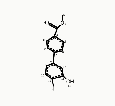 COC(=O)c1ccc(-c2ccc(I)c(O)c2)cc1